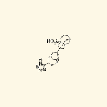 O=C(O)C12CCCC3CC1CC(C14CC5CC(c6nnn[nH]6)CC(C1)C(C5)C4)(C3)C2